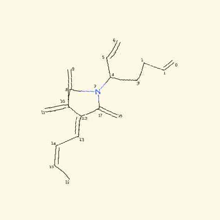 C=CCCC(C=C)n1c(=C)c(=C)/c(=C\C=C/C)c1=C